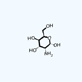 N[C@@H]1[C@H](O)[C@@H](O)[C@@H](CO)O[C@@H]1O